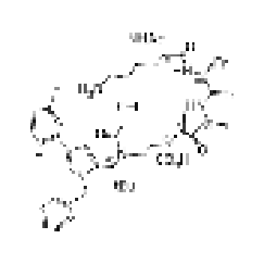 CC(=O)N[C@@H](CCCCN)C(=O)N[C@H](C(=O)N[C@@H](C)C(=O)N[C@@H](CCN(C(=O)CO)[C@@H](c1cc(-c2cc(F)ccc2F)cn1Cc1ccccc1)C(C)(C)C)C(=O)O)C(C)C